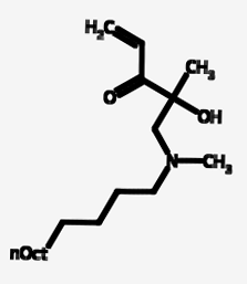 C=CC(=O)C(C)(O)CN(C)CCCCCCCCCCCC